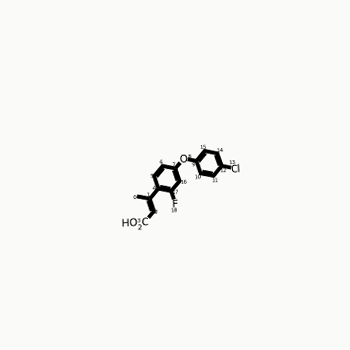 CC(=CC(=O)O)c1ccc(Oc2ccc(Cl)cc2)cc1F